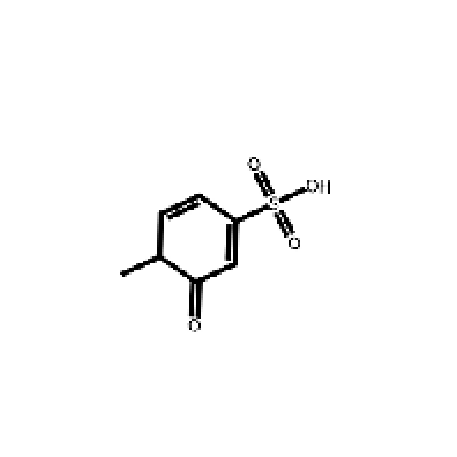 CC1C=CC(S(=O)(=O)O)=CC1=O